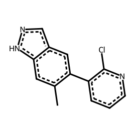 Cc1cc2[nH]ncc2cc1-c1cccnc1Cl